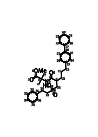 COC(=O)C(C)(C)NC(=O)C(CCCc1ccc(-c2ccccc2)cc1)CP(=O)(O)CCc1ccccc1